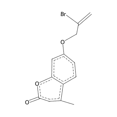 C=C(Br)COc1ccc2c(C)cc(=O)oc2c1